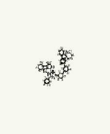 c1ccc(-c2nc(-c3cccc(-c4cccc(-c5ccc6c(c5)C5(CCCCC5)c5ccccc5-6)c4)c3)nc(-c3cccc4c3oc3ccccc34)n2)cc1